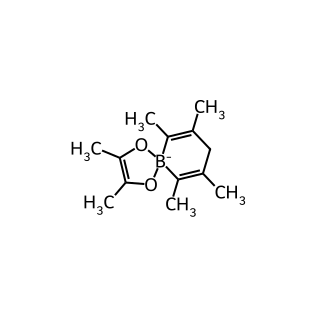 CC1=C(C)[B-]2(OC(C)=C(C)O2)C(C)=C(C)C1